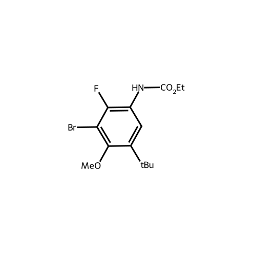 CCOC(=O)Nc1cc(C(C)(C)C)c(OC)c(Br)c1F